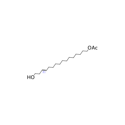 CC(=O)OCCCCCCCCCCCC/C=C/CCO